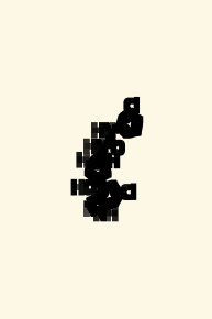 O=C(Nc1cccc(Cl)c1)N[C@@H]1[C@@H]2C[C@@](O)(c3cc(Cl)cc4[nH]ncc34)C[C@@H]21